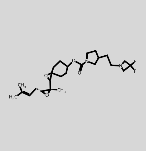 CC(C)=CC[C@H]1O[C@@]1(C)C1OC12CCC(OC(=O)N1CCC(CCN3CC(F)(F)C3)C1)CC2